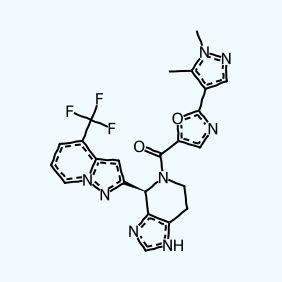 Cc1c(-c2ncc(C(=O)N3CCc4[nH]cnc4[C@H]3c3cc4c(C(F)(F)F)cccn4n3)o2)cnn1C